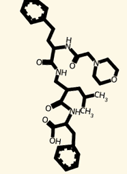 CC(C)CC(CNC(=O)C(CCc1ccccc1)NC(=O)CN1CCOCC1)C(=O)NC(Cc1ccccc1)C(=O)O